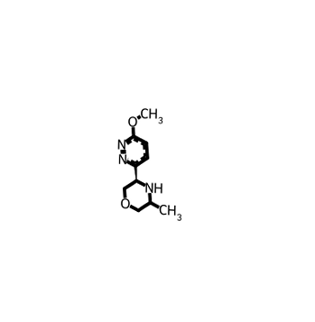 COc1ccc([C@@H]2COCC(C)N2)nn1